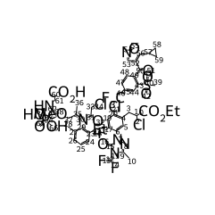 CCOC(=O)C(Cl)Cc1cc(-n2nc(C)n(C(F)F)c2=O)c(F)cc1Cl.CCc1cccc(C)c1N(C(=O)CCl)C(C)COC.CS(=O)(=O)c1cc(C(F)(F)F)ccc1C(=O)c1cnoc1C1CC1.O=C(O)CNCP(=O)(O)O